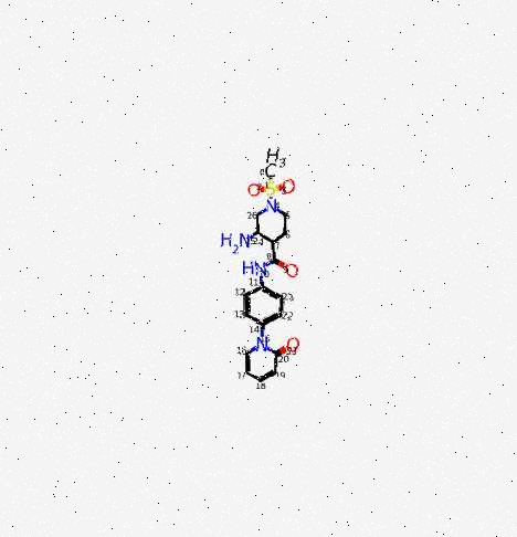 CS(=O)(=O)N1CCC(C(=O)Nc2ccc(-n3ccccc3=O)cc2)C(N)C1